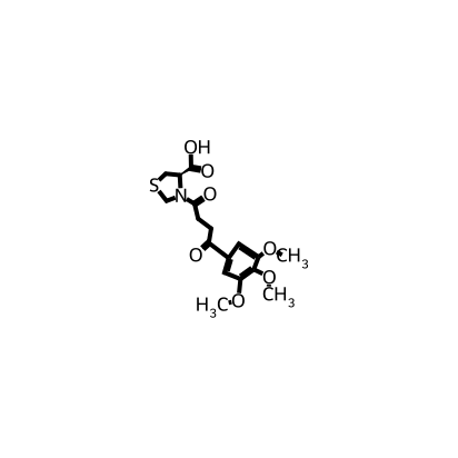 COc1cc(C(=O)CCC(=O)N2CSC[C@H]2C(=O)O)cc(OC)c1OC